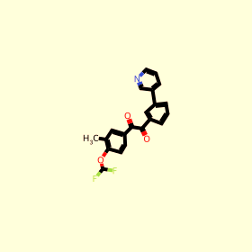 Cc1cc(C(=O)C(=O)c2cccc(-c3cccnc3)c2)ccc1OC(F)F